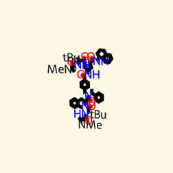 CN[C@@H](C)C(=O)NC(C(=O)N1CC(NC(=O)c2ccc(CN(C(=O)C3Cc4ccccc4CN3C(=O)C(NC(=O)[C@H](C)NC)C(C)(C)C)C(C)c3ccccc3)cc2)CC1C(=O)NC1CCCc2ccccc21)C(C)(C)C